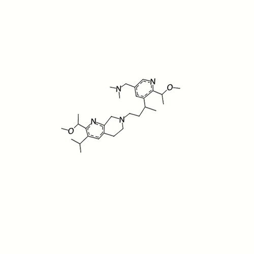 COC(C)c1nc2c(cc1C(C)C)CCN(CCC(C)c1cc(CN(C)C)cnc1C(C)OC)C2